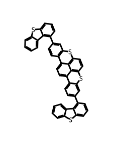 c1ccc2c(c1)sc1cccc(-c3ccc4c(c3)Sc3ccc5c6c(ccc-4c36)-c3ccc(-c4cccc6sc7ccccc7c46)cc3S5)c12